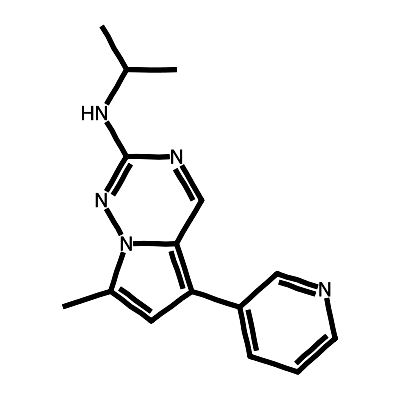 Cc1cc(-c2cccnc2)c2cnc(NC(C)C)nn12